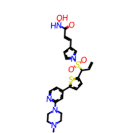 C=CC(c1ccc(-c2ccnc(N3CCN(C)CC3)c2)s1)S(=O)(=O)n1ccc(/C=C/C(=O)NO)c1